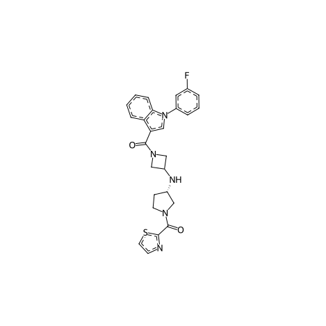 O=C(c1nccs1)N1CC[C@H](NC2CN(C(=O)c3cn(-c4cccc(F)c4)c4ccccc34)C2)C1